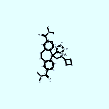 CN(C)C(=O)c1ccc2c(c1)CCc1cc(C(=O)N(C)C)ccc1C2(C[C@@H](N)C1CCC1)c1nnn[nH]1